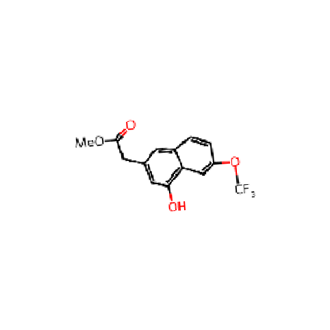 COC(=O)Cc1cc(O)c2cc(OC(F)(F)F)ccc2c1